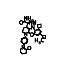 COc1ccc(NC2=C(C(=N)C(N)=O)CCN(c3ccc(N4CCCCC4=O)cc3)C2=O)c(Cl)c1